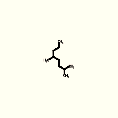 CCCC(C)[CH]CC(C)C